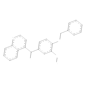 COc1cc(C(O)c2ccnc3ccccc23)ccc1OCc1ccccc1